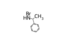 CC(NBr)c1ccccc1